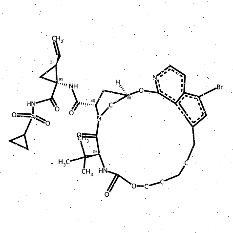 C=C[C@@H]1C[C@]1(NC(=O)[C@@H]1C[C@@H]2CN1C(=O)[C@H](C(C)(C)C)NC(=O)OCCCCCc1cc(Br)c3ccnc(c3c1)O2)C(=O)NS(=O)(=O)C1CC1